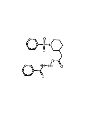 O=C(CC1CCCN(S(=O)(=O)c2ccccc2)C1)ONNC(=O)c1ccccc1